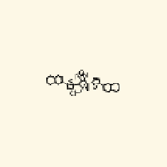 ClCc1nc(-c2ccc(-c3ccc4ccccc4c3)s2)c2nonc2c1-c1ccc(-c2ccc3ccccc3c2)s1